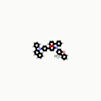 C[C@@]12CC=C(N(c3ccc(-c4ccc(-n5c6ccccc6c6ccc7ccccc7c65)cc4)cc3)c3ccccc3-c3ccccc3)C=C1Oc1ccccc12